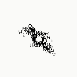 C[C@H]1OP(=O)(O)O[C@@H]2C[C@@H](COP(=O)(O)O[C@@H]3[C@@H]1OC[C@]3(O)n1cnc3c(N)ncnc31)O[C@H]2n1cnc2c(=O)[nH]c(N)nc21